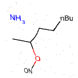 CCCCCCC(C)ON=O.N